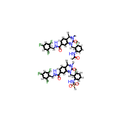 CC(=O)Nc1cccc(F)c1CN1C(=O)N(C)C(C)c2ccc(C(=O)NCc3c(F)cc(F)cc3F)cc21.CC1c2ccc(C(=O)NCc3c(F)cc(F)cc3F)cc2N(Cc2c(F)cccc2NS(C)(=O)=O)C(=O)N1C